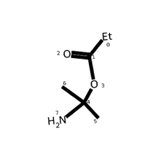 CCC(=O)OC(C)(C)N